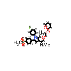 CNC(COCCOC1CCCCO1)c1cc(-c2ccc(S(C)(=O)=O)cc2)n(-c2ccc(F)cc2)c1C